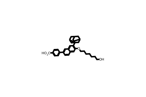 O=C(O)c1ccc(-c2ccc3cc(OCCCCCCCO)c(C45CC6CC(CC(C6)C4)C5)cc3c2)cc1